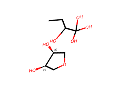 CCC(O)C(O)(O)O.O[C@@H]1COC[C@@H]1O